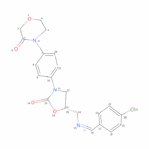 O=C1COCCN1c1ccc(N2C[C@H](C/N=C\c3ccc(Cl)cc3)OC2=O)cc1